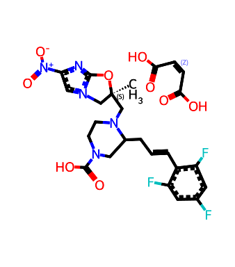 C[C@]1(CN2CCN(C(=O)O)CC2CC=Cc2c(F)cc(F)cc2F)Cn2cc([N+](=O)[O-])nc2O1.O=C(O)/C=C\C(=O)O